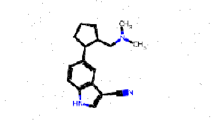 CN(C)CC1CCCC1c1ccc2[nH]cc(C#N)c2c1